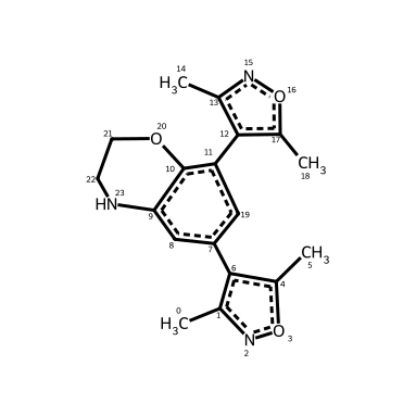 Cc1noc(C)c1-c1cc2c(c(-c3c(C)noc3C)c1)OCCN2